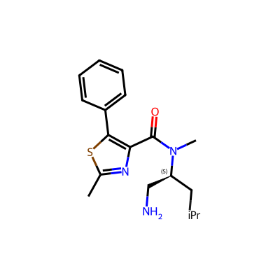 Cc1nc(C(=O)N(C)[C@H](CN)CC(C)C)c(-c2ccccc2)s1